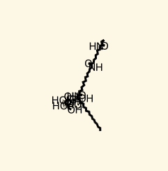 C=CC(=O)NCCCCCCCC(=O)NCCCCCCCCCCCC(=O)N[C@@H](CO[C@H]1OC(CO)[C@H](O)[C@H](O)C1O)[C@H](O)[C@H](O)CCCCCCCCCCCCCC